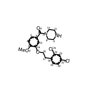 COc1ccc(C(=O)N2CCNCC2)cc1OCCc1ccc(Cl)cc1Cl